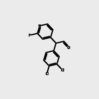 O=CC(c1ccnc(F)c1)c1ccc(Cl)c(Cl)c1